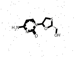 Nc1ccn(C2CS[C@H](CO)O2)c(=O)n1